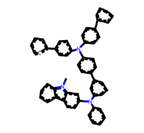 Cn1c2ccccc2c2ccc(N(c3ccccc3)c3cccc(-c4ccc(N(c5ccc(-c6ccccc6)cc5)c5ccc(-c6ccccc6)cc5)cc4)c3)cc21